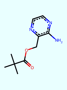 CC(C)(C)C(=O)OCc1nccnc1N